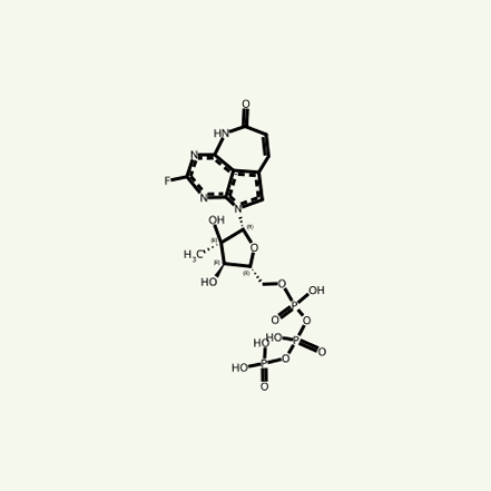 C[C@@]1(O)[C@H](O)[C@@H](COP(=O)(O)OP(=O)(O)OP(=O)(O)O)O[C@H]1n1cc2c3c(nc(F)nc31)NC(=O)C=C2